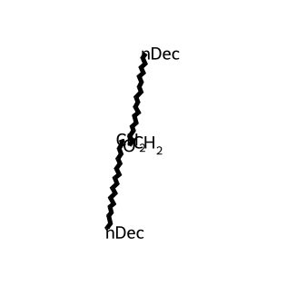 C=C(CCCCCCCCCCCCCCCCCCCCCCCCCCC)OC(=C)CCCCCCCCCCCCCCCCCCCCCCCCCCC